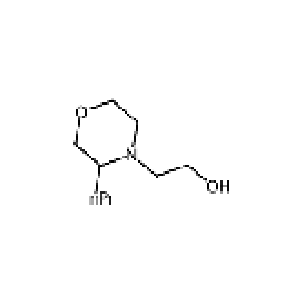 CCCC1COCCN1CCO